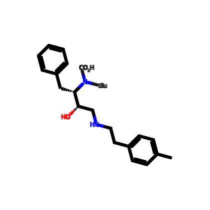 Cc1ccc(CCNC[C@H](O)[C@H](Cc2ccccc2)N(C(=O)O)C(C)(C)C)cc1